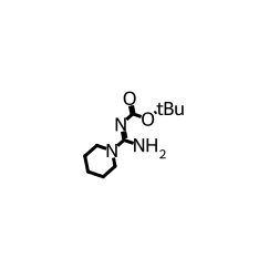 CC(C)(C)OC(=O)N=C(N)N1CCCCC1